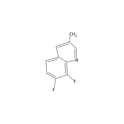 [CH2]c1cnc2c(F)c(F)ccc2c1